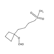 CS(=O)(=O)CCCCC1(OC=O)CCC1